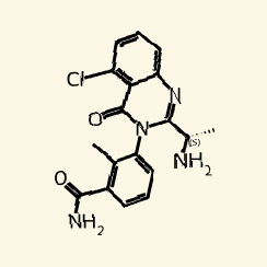 Cc1c(C(N)=O)cccc1-n1c([C@H](C)N)nc2cccc(Cl)c2c1=O